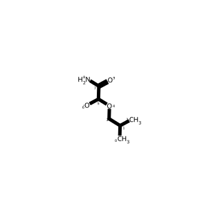 CC(C)COC([O])C(N)=O